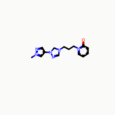 Cn1cc(N2CN(CCCn3ccccc3=O)C=N2)cn1